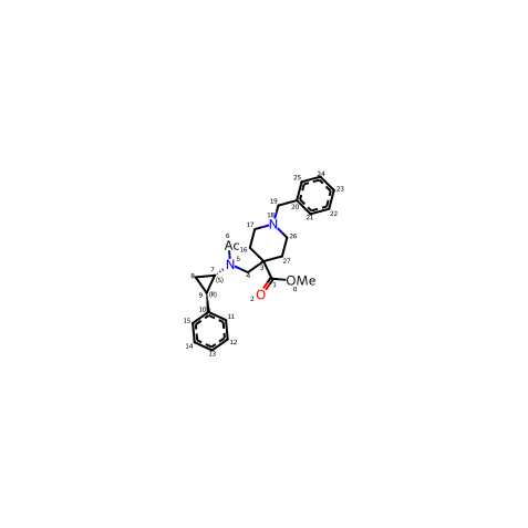 COC(=O)C1(CN(C(C)=O)[C@H]2C[C@@H]2c2ccccc2)CCN(Cc2ccccc2)CC1